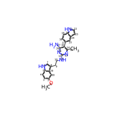 COc1ccc2[nH]cc(CCNc3nc(C)c(-c4ccc5[nH]ccc5c4)c(N)n3)c2c1